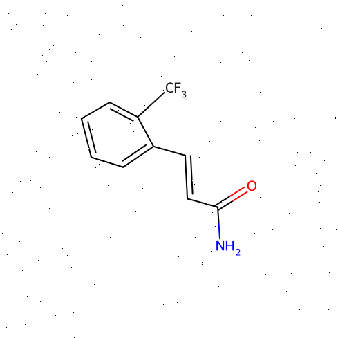 NC(=O)C=Cc1ccccc1C(F)(F)F